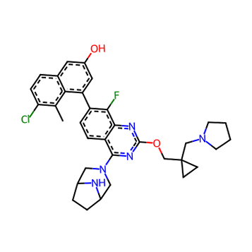 Cc1c(Cl)ccc2cc(O)cc(-c3ccc4c(N5CC6CCC(C5)N6)nc(OCC5(CN6CCCC6)CC5)nc4c3F)c12